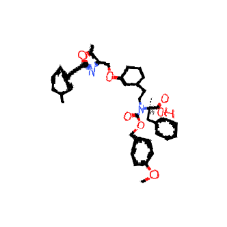 COc1ccc(COC(=O)N(CCC2CCCC(OCc3nc(-c4cccc(C)c4)oc3C)C2)[C@](C)(Cc2ccccc2)C(=O)O)cc1